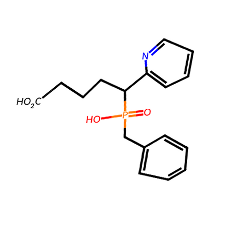 O=C(O)CCCC(c1ccccn1)P(=O)(O)Cc1ccccc1